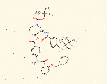 CN(C(=O)c1ccccc1OCc1ccccc1)c1ccc(C(=O)O[C@@H]2CCCN(C(=O)OC(C)(C)C)C[C@H]2NC(=O)c2ccc(O[Si](C)(C)C(C)(C)C)cc2)cc1